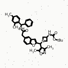 Cc1ccc(C(NC(=O)Cc2ccc3oc(C(c4c(C)noc4C)N4CC(NC(=O)OC(C)(C)C)C4)cc3c2)c2ccccc2)c(C)c1